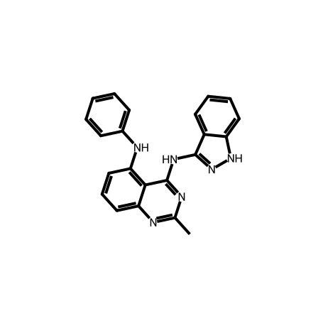 Cc1nc(Nc2n[nH]c3ccccc23)c2c(Nc3ccccc3)cccc2n1